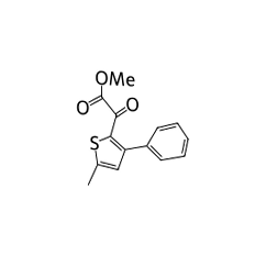 COC(=O)C(=O)c1sc(C)cc1-c1ccccc1